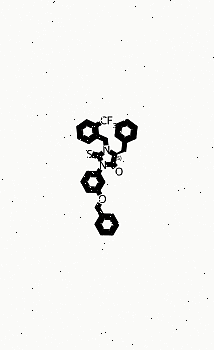 O=C1[C@H](Cc2ccccc2)N(Cc2ccccc2C(F)(F)F)C(=S)N1c1cccc(OCc2ccccc2)c1